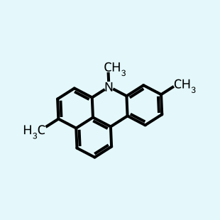 Cc1ccc2c(c1)N(C)c1ccc(C)c3cccc-2c13